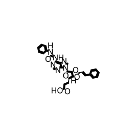 O=C(O)CC[C@H]1O[C@@H](n2cnc3c(NC(=O)Nc4ccccc4)ncnc32)C2O[C@@H](/C=C/c3ccccc3)O[C@H]21